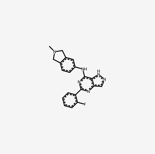 CN1Cc2ccc(Nc3nc(-c4ccccc4F)nc4cn[nH]c34)cc2C1